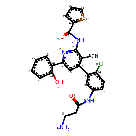 N#Cc1c(-c2cc(NC(=O)CCN)ccc2Cl)cc(-c2ccccc2O)nc1NC(=O)c1cccs1